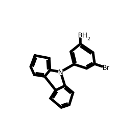 Bc1cc(Br)cc(-n2c3ccccc3c3ccccc32)c1